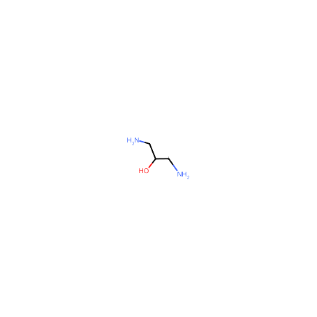 N[CH]C(O)CN